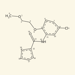 COCCOc1ccc(Cl)cc1NC(=O)c1cccs1